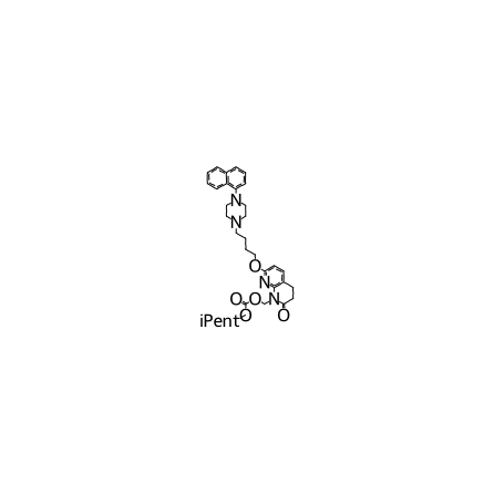 CCCC(C)OC(=O)OCN1C(=O)CCc2ccc(OCCCCN3CCN(c4cccc5ccccc45)CC3)nc21